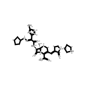 Nc1nc(C(=NOC2CCCC2)C(=O)N[C@@H]2C(=O)N3C(C(=O)O)=C(C=C4CCN([C@@H]5CCNC5)C4=O)CS[C@H]23)ns1